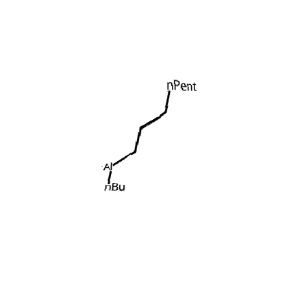 CCCCCCC[CH2][Al][CH2]CCC